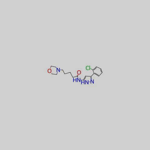 O=C(CCCCN1CCOCC1)Nc1cc(-c2ccccc2Cl)n[nH]1